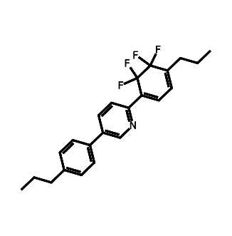 CCCC1=CC=C(c2ccc(-c3ccc(CCC)cc3)cn2)C(F)(F)C1(F)F